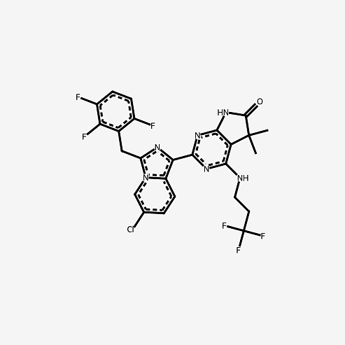 CC1(C)C(=O)Nc2nc(-c3nc(Cc4c(F)ccc(F)c4F)n4cc(Cl)ccc34)nc(NCCC(F)(F)F)c21